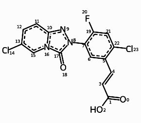 O=C(O)C=Cc1cc(-n2nc3ccc(Cl)cn3c2=O)c(F)cc1Cl